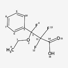 CCOC(F)(c1ccccc1)C(F)(F)C(=O)O